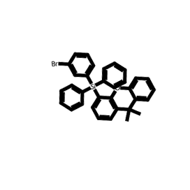 CC1(C)c2ccccc2Oc2c1cccc2[Si](c1ccccc1)(c1ccccc1)c1cccc(Br)c1